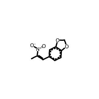 CC(=Cc1ccc2c(c1)OCO2)[N+](=O)[O-]